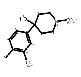 Cc1ccc(C2(O)CCN(C(=O)O)CC2)cc1C(F)(F)F